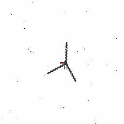 CCCCCCCCCCCCCCC[PH](CCCC)(CCCCCCCCCCCCCCC)CCCCCCCCCCCCCCC